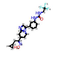 O=C(NCC(F)(F)F)Nc1cccc(-c2cnc3cc(/C(CC4CC4)=N/O)ccn23)c1